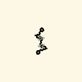 Cc1cc(/C=C/c2ccccc2)n(OS(=O)(=O)CCCCS(=O)(=O)On2c(/C=C/c3ccccc3)cc(C)cc2=O)c(=O)c1